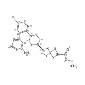 CCOC(=O)N1CC2(CC[C@@H](N3CCN(c4ncc(F)cc4-c4cncc(N)c4)CC3)C2)C1